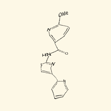 COc1ccc(C(=O)Nc2nc(-c3ccccn3)cs2)cn1